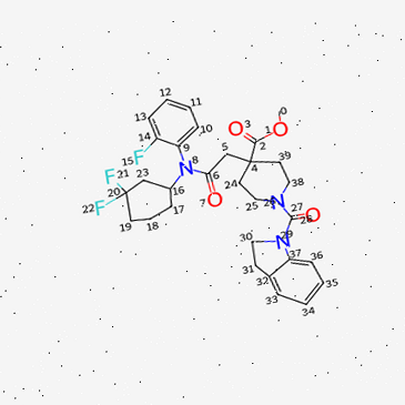 COC(=O)C1(CC(=O)N(c2ccccc2F)C2CCCC(F)(F)C2)CCN(C(=O)N2CCc3ccccc32)CC1